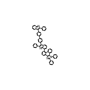 c1ccc(-c2nc3ccccn3c2-c2ccc(-c3ccc(-c4c(-c5ccccc5)nc5c(-c6cccc7c8nc(-c9ccccc9)n(-c9ccccc9)c8c8ccccc8c67)cccn45)cc3)cc2)cc1